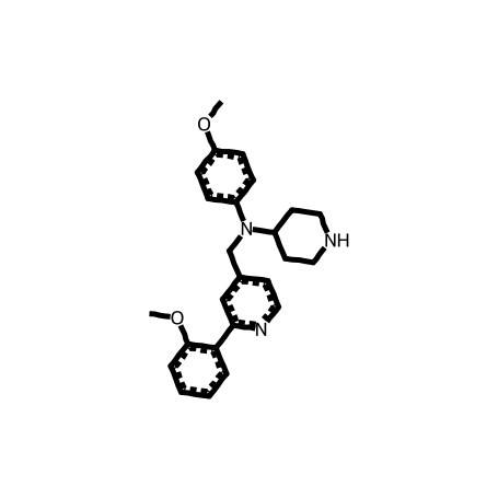 COc1ccc(N(Cc2ccnc(-c3ccccc3OC)c2)C2CCNCC2)cc1